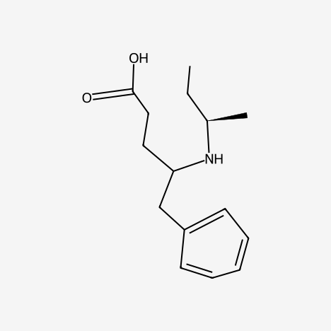 CC[C@@H](C)NC(CCC(=O)O)Cc1ccccc1